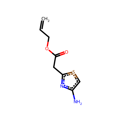 C=CCOC(=O)Cc1nc(N)cs1